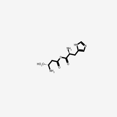 N[C@@H](CC(=O)OC(=O)[C@@H](N)Cc1cnc[nH]1)C(=O)O